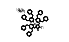 CC1=[C]([Ti])C(C)C([Si](c2cc(Cc3ccccc3)cc(Cc3ccccc3)c2)(c2cc(Cc3ccccc3)cc(Cc3ccccc3)c2)c2cc(Cc3ccccc3)cc(Cc3ccccc3)c2)=C1C.Cl.Cl.Cl